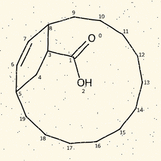 O=C(O)C1CC2C=CC1CCCCCCCCCCC2